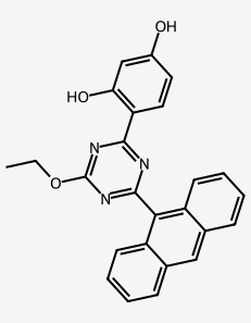 CCOc1nc(-c2ccc(O)cc2O)nc(-c2c3ccccc3cc3ccccc23)n1